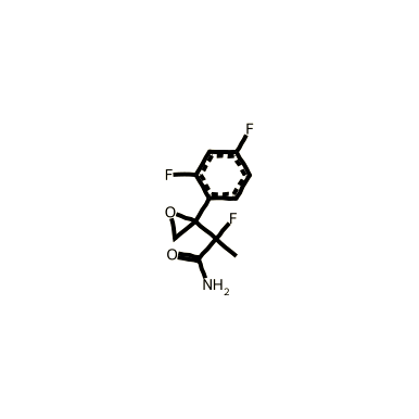 CC(F)(C(N)=O)C1(c2ccc(F)cc2F)CO1